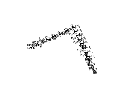 CNC(N)=O.CNC(N)=O.CNC(N)=O.CNC(N)=O.CNC(N)=O.CNC(N)=O.CNC(N)=O.CNC(N)=O.CNC(N)=O.CNC(N)=O.CNC(N)=O.CNC(N)=O.O=P(O)(O)F.O=P(O)(O)F.O=P(O)(O)F.O=P(O)(O)F.O=P(O)(O)F.O=P(O)(O)F